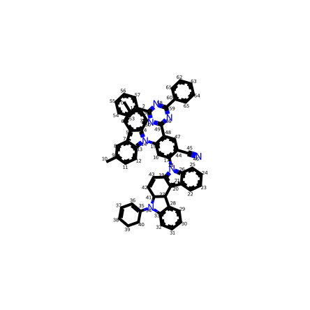 Cc1ccc2c(c1)c1cc(C)ccc1n2-c1cc(-n2c3c(c4ccccc42)C2c4ccccc4N(C4=CC=CCC4)C2C=C3)c(C#N)cc1-c1nc(-c2ccccc2)nc(-c2ccccc2)n1